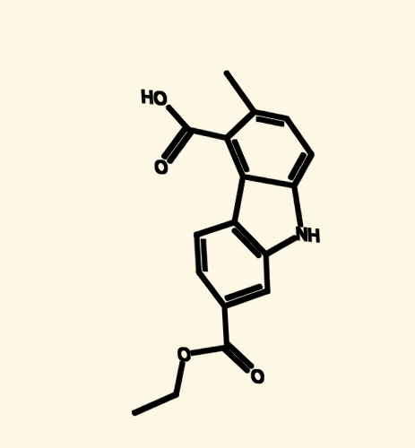 CCOC(=O)c1ccc2c(c1)[nH]c1ccc(C)c(C(=O)O)c12